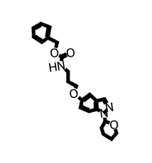 O=C(NCCCOc1ccc2c(cnn2C2CCCCO2)c1)OCc1ccccc1